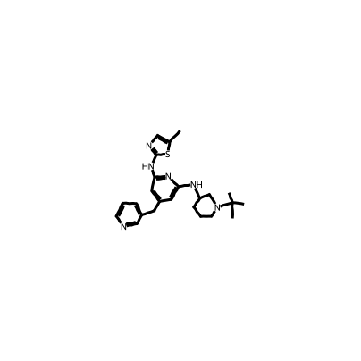 Cc1cnc(Nc2cc(Cc3cccnc3)cc(NC3CCCN(C(C)(C)C)C3)n2)s1